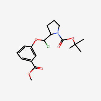 COC(=O)c1cccc(OC(Cl)C2CCCN2C(=O)OC(C)(C)C)c1